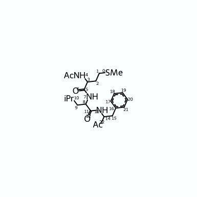 CSCCC(NC(C)=O)C(=O)NC(CC(C)C)C(=O)NC(Cc1ccccc1)C(C)=O